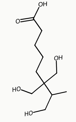 CC(CO)C(CO)(CO)CCCCC(=O)O